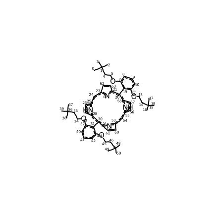 CC(C)(C)CCOc1cccc(OCCC(C)(C)C)c1-c1c2nc(cc3ccc([nH]3)c(-c3c(OCCC(C)(C)C)cccc3OCCC(C)(C)C)c3nc(cc4ccc1[nH]4)C=C3)C=C2